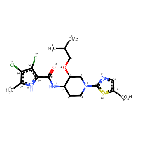 COC(C)CO[C@H]1CN(c2ncc(C(=O)O)s2)CC[C@H]1NC(=O)c1[nH]c(C)c(Cl)c1Cl